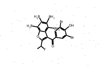 Bc1c(B)c(B)c2c(C(=O)c3cc(Br)c(O)c(Br)c3)c(C(C)F)oc2c1B